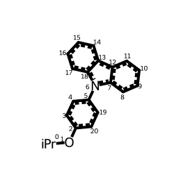 CC(C)Oc1ccc(-n2c3ccccc3c3ccccc32)cc1